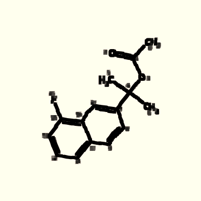 CC(=O)OC(C)(C)c1ccc2cccc(F)c2c1